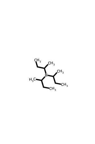 CC[CH](C)[Bi]([CH](C)CC)[CH](C)CC